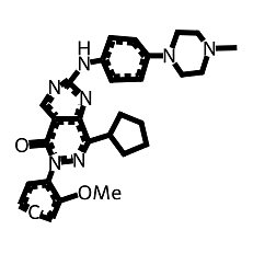 COc1ccccc1-n1nc(C2CCCC2)c2nc(Nc3ccc(N4CCN(C)CC4)cc3)ncc2c1=O